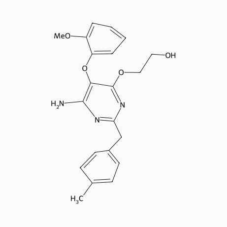 COc1ccccc1Oc1c(N)nc(Cc2ccc(C)cc2)nc1OCCO